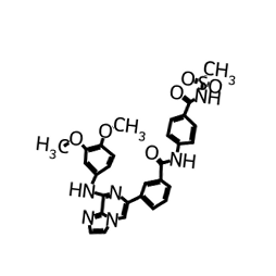 COc1ccc(Nc2nc(-c3cccc(C(=O)Nc4ccc(C(=O)NS(C)(=O)=O)cc4)c3)cn3ccnc23)cc1OC